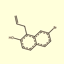 C=CCc1c(O)ccc2ccc(Br)cc12